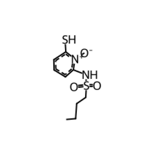 CCCCS(=O)(=O)Nc1cccc(S)[n+]1[O-]